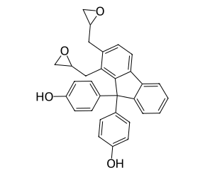 Oc1ccc(C2(c3ccc(O)cc3)c3ccccc3-c3ccc(CC4CO4)c(CC4CO4)c32)cc1